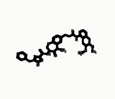 COC1Cc2cccc(NC(=O)CCc3ccc4c(c3)N(C)C(=O)C(NC(=O)c3n[nH]c(Cc5ccccc5)n3)CO4)c2CC1OC